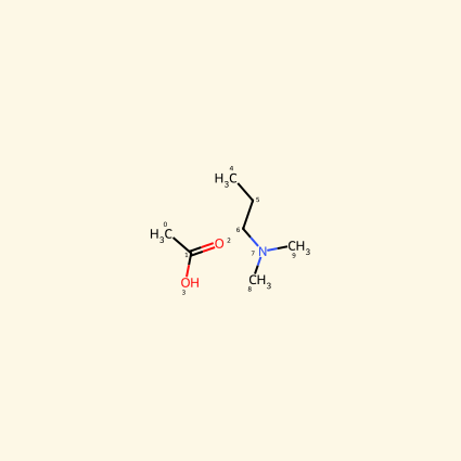 CC(=O)O.CCCN(C)C